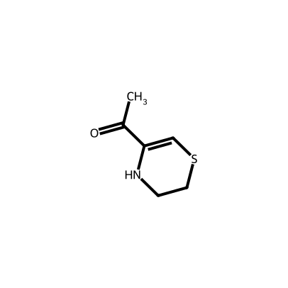 CC(=O)C1=CSCCN1